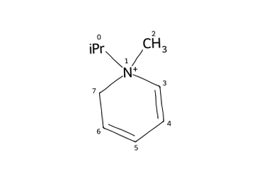 CC(C)[N+]1(C)C=CC=CC1